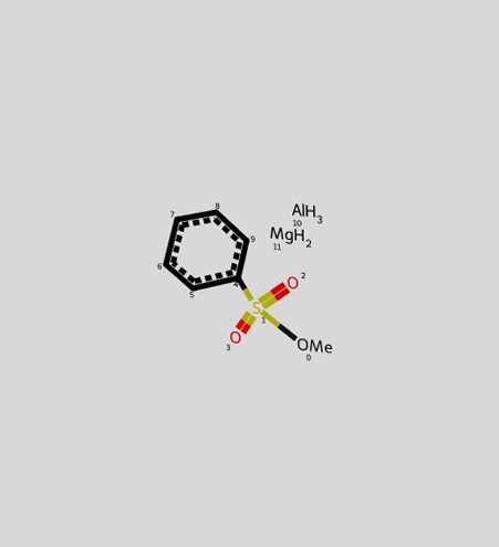 COS(=O)(=O)c1ccccc1.[AlH3].[MgH2]